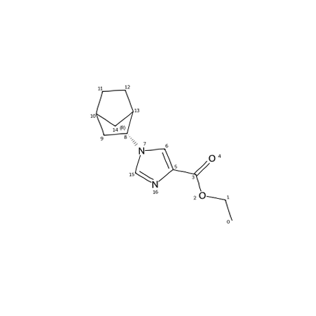 CCOC(=O)c1cn([C@@H]2CC3CCC2C3)cn1